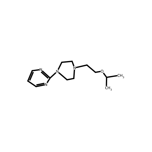 CC(C)OCCN1CCN(c2ncccn2)CC1